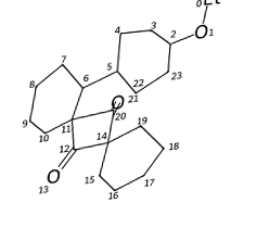 CCOC1CCC(C2CCCCC23C(=O)C2(CCCCC2)C3=O)CC1